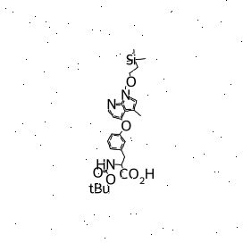 Cc1cn(COCC[Si](C)(C)C)c2nccc(Oc3cccc(CC(NC(=O)OC(C)(C)C)C(=O)O)c3)c12